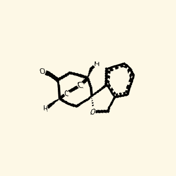 O=C1C[C@H]2CC[C@@H]1C[C@@]21OCc2ccccc21